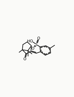 Cc1ccc(C=C2C(=O)C3(C)CCC2C3(C)C)c(S(=O)(=O)O)c1